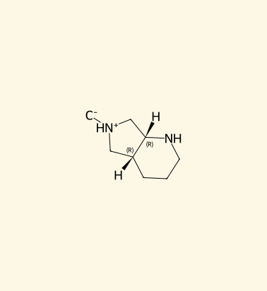 [CH2-][NH+]1C[C@H]2CCCN[C@H]2C1